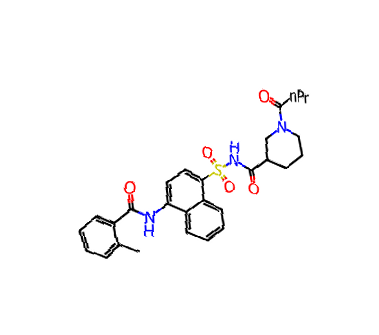 CCCC(=O)N1CCCC(C(=O)NS(=O)(=O)c2ccc(NC(=O)c3ccccc3C)c3ccccc23)C1